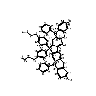 CCCCc1ccc(C2(c3ccc(CCCC)cc3)c3cc4c(cc3-c3cc5c(cc32)N(c2ccccc2)c2ccc(C)cc2C5)Cc2cc(C)ccc2N4c2ccccc2)cc1